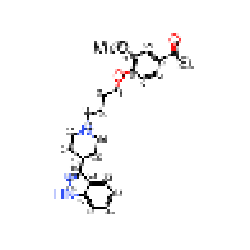 CCC(=O)c1ccc(OCCCCN2CCC(c3n[nH]c4ccccc34)CC2)c(OC)c1